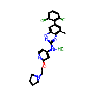 Cc1cc(-c2c(Cl)cccc2Cl)cc2nnc(Nc3ccnc(OCCN4CCCC4)c3)nc12.Cl